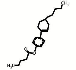 CCCCCC1CC=C(c2ccc(OC(=O)CCCC)cc2)CC1